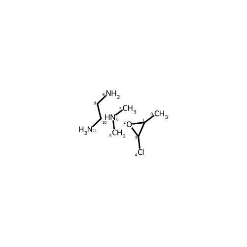 CC1OC1Cl.CNC.NCCN